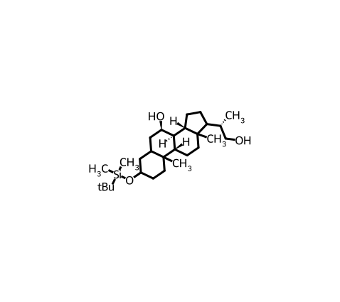 C[C@H](CO)C1CC[C@H]2[C@@H]3[C@H](O)CC4CC(O[Si](C)(C)C(C)(C)C)CCC4(C)[C@H]3CCC12C